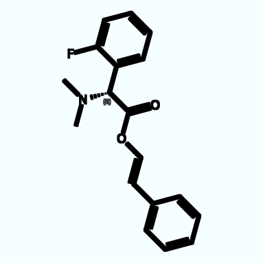 CN(C)[C@@H](C(=O)OC=Cc1ccccc1)c1ccccc1F